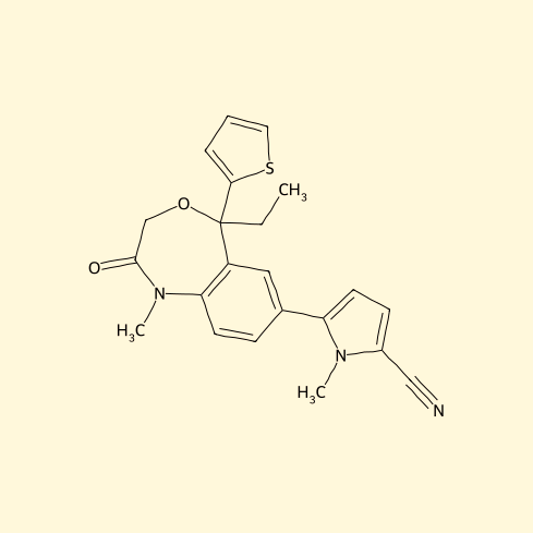 CCC1(c2cccs2)OCC(=O)N(C)c2ccc(-c3ccc(C#N)n3C)cc21